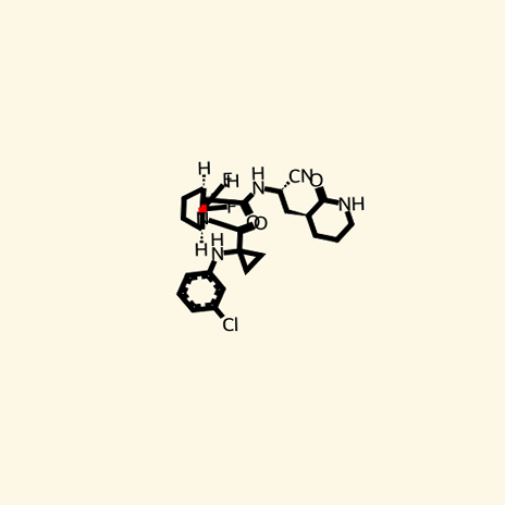 N#C[C@H](C[C@@H]1CCCNC1=O)NC(=O)[C@@H]1[C@@H]2CC[C@@H](CC2(F)F)N1C(=O)C1(Nc2cccc(Cl)c2)CC1